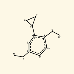 CCc1[c]c(C2CC2)c(CC)cc1